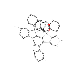 Brc1ccc2c(c1)C(c1ccccc1)(c1ccccc1)c1c3c(c4c(oc5ccccc54)c1-2)C1=CCC(Br)C=C1C3(c1ccccc1)c1ccccc1